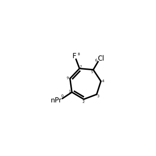 CCCC1=CCCC(Cl)C(F)=C1